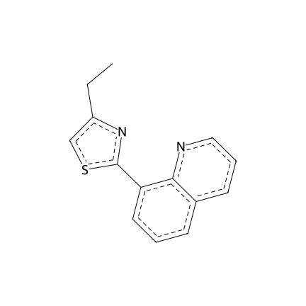 CCc1csc(-c2cccc3cccnc23)n1